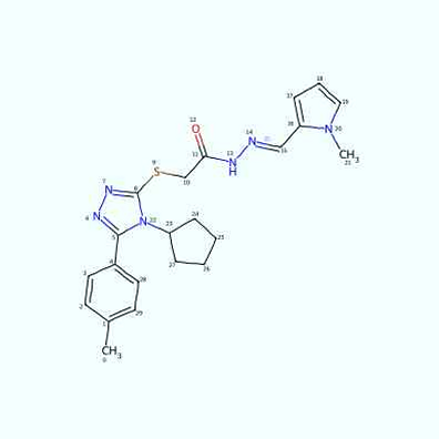 Cc1ccc(-c2nnc(SCC(=O)N/N=C/c3cccn3C)n2C2CCCC2)cc1